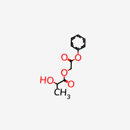 CC(O)C(=O)OCC(=O)Oc1ccccc1